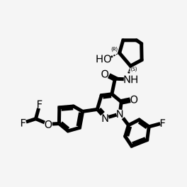 O=C(N[C@H]1CCCC[C@H]1O)c1cc(-c2ccc(OC(F)F)cc2)nn(-c2cccc(F)c2)c1=O